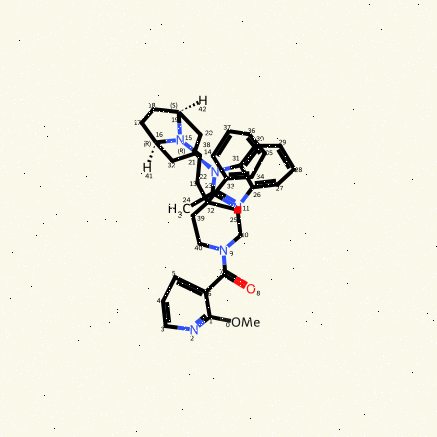 COc1ncccc1C(=O)N1CCC(CCN2[C@@H]3CC[C@H]2C[C@@H](n2c(C)nc4ccccc42)C3)(c2ccccc2)CC1